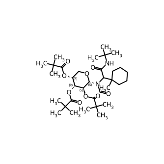 CC(C)(C)NC(=O)C(N(C=O)[C@H]1OC[C@@H](OC(=O)C(C)(C)C)[C@@H](OC(=O)C(C)(C)C)[C@@H]1OC(=O)C(C)(C)C)C1(C)CCCCC1